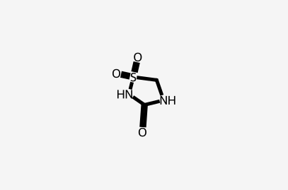 O=C1NCS(=O)(=O)N1